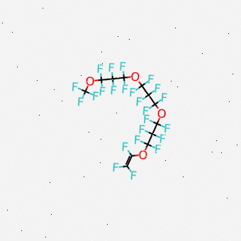 FC(F)=C(F)OC(F)(F)C(F)(F)C(F)(F)OC(F)(F)C(F)(F)C(F)(F)OC(F)(F)C(F)(F)C(F)(F)OC(F)(F)F